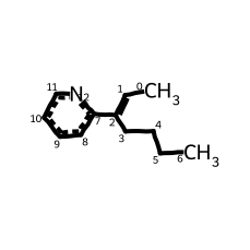 CC=C(CCCC)c1ccccn1